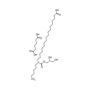 CCCCCCC(CCCCCCCCCCCCCCCCCC(=O)O)C(=O)OCC(O)CO.O=C(O)CCCCC(=O)O